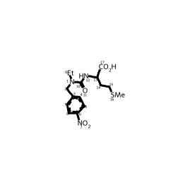 CCN(Cc1ccc([N+](=O)[O-])cc1)C(=O)NC(CCSC)C(=O)O